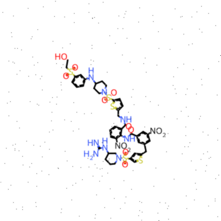 N=C(N)NC1CCCN(S(=O)(=O)c2csc(Cc3cc(C(=O)Nc4c(C(=O)NCc5ccc(S(=O)(=O)N6CCC(Nc7cccc(S(=O)(=O)CCO)c7)CC6)s5)cccc4[N+](=O)[O-])cc([N+](=O)[O-])c3)c2)C1